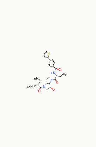 CC(=O)NC(CC(C)(C)C)C(=O)N1CC(=O)C2C1CCN2C(=O)C(CC(C)C)NC(=O)c1ccc(-c2cccs2)cc1